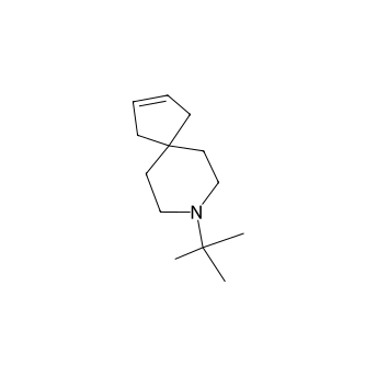 CC(C)(C)N1CCC2(CC=CC2)CC1